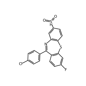 O=[SH](=O)c1ccc2c(c1)N=C(c1ccc(Cl)cc1)c1ccc(F)cc1S2